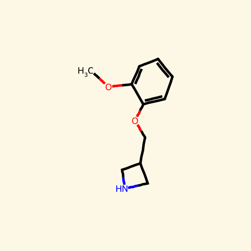 COc1ccccc1OCC1CNC1